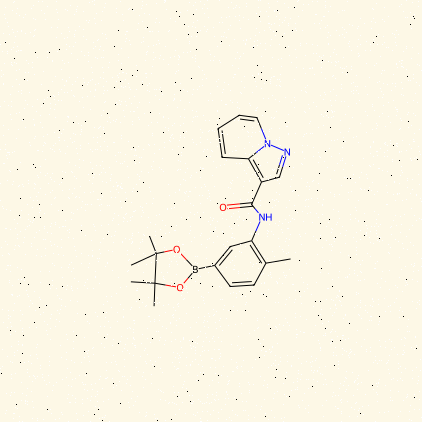 Cc1ccc(B2OC(C)(C)C(C)(C)O2)cc1NC(=O)c1cnn2ccccc12